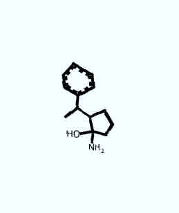 CC(c1ccccc1)C1CCCC1(N)O